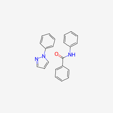 O=C(Nc1ccccc1)c1ccccc1.c1ccc(-n2cccn2)cc1